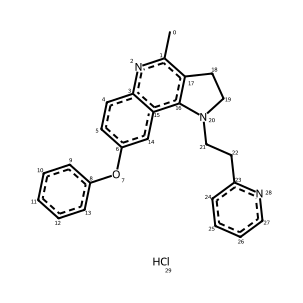 Cc1nc2ccc(Oc3ccccc3)cc2c2c1CCN2CCc1ccccn1.Cl